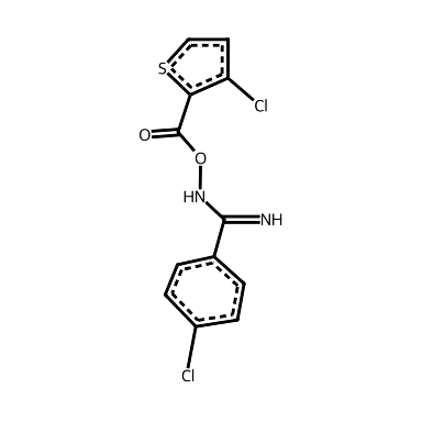 N=C(NOC(=O)c1sccc1Cl)c1ccc(Cl)cc1